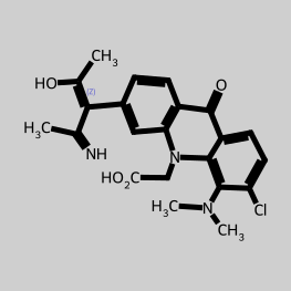 CC(=N)/C(=C(/C)O)c1ccc2c(=O)c3ccc(Cl)c(N(C)C)c3n(CC(=O)O)c2c1